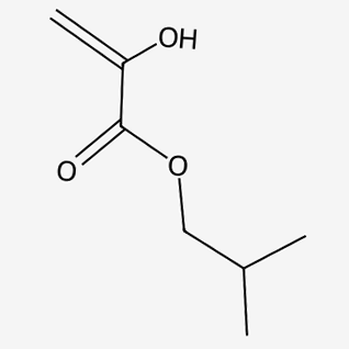 C=C(O)C(=O)OCC(C)C